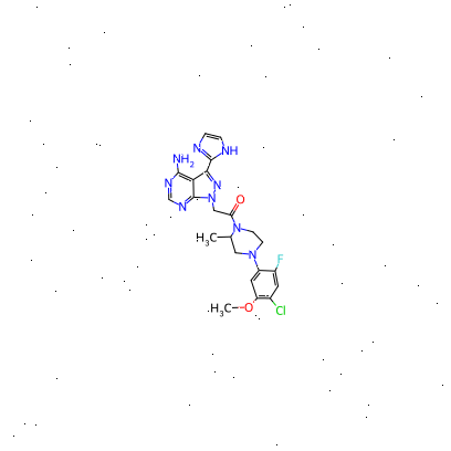 COc1cc(N2CCN(C(=O)Cn3nc(-c4ncc[nH]4)c4c(N)ncnc43)C(C)C2)c(F)cc1Cl